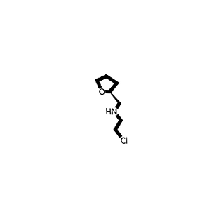 ClCCNC[C@@H]1CCCO1